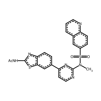 CC(=O)Nc1nc2ccc(-c3ccnc(N(C)S(=O)(=O)c4ccc5ncccc5c4)n3)cc2s1